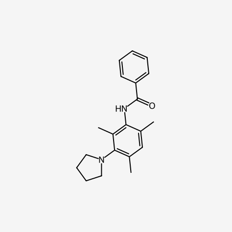 Cc1cc(C)c(N2CCCC2)c(C)c1NC(=O)c1ccccc1